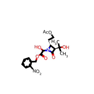 CC(=O)OCC[C@@H]1[C@@H](C(C)(C)O)C(=O)N1C(O)C(=O)OCc1ccccc1[N+](=O)[O-]